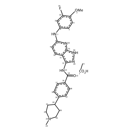 CC(=O)O.COc1ccc(Nc2ccc3c(NC(=O)c4ccc(C5CCN(C)CC5)cc4)n[nH]c3n2)cc1F